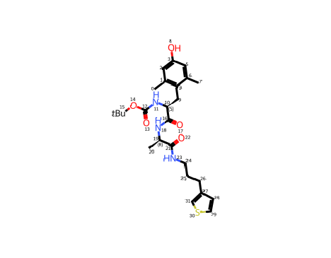 Cc1cc(O)cc(C)c1C[C@H](NC(=O)OC(C)(C)C)C(=O)N[C@H](C)C(=O)NCCCc1ccsc1